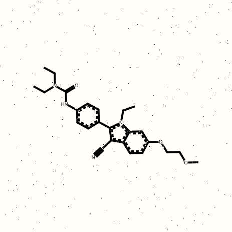 CCN(CC)C(=O)Nc1ccc(-c2c(C#N)c3ccc(OCCOC)cc3n2CC)cc1